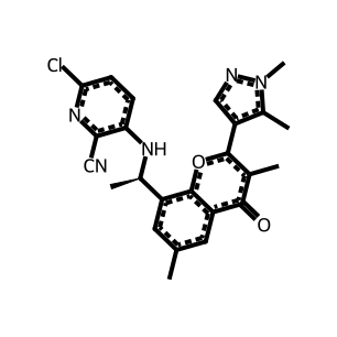 Cc1cc([C@@H](C)Nc2ccc(Cl)nc2C#N)c2oc(-c3cnn(C)c3C)c(C)c(=O)c2c1